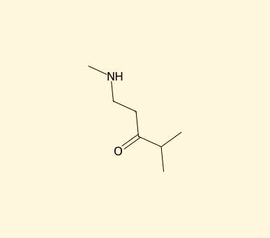 CNCCC(=O)C(C)C